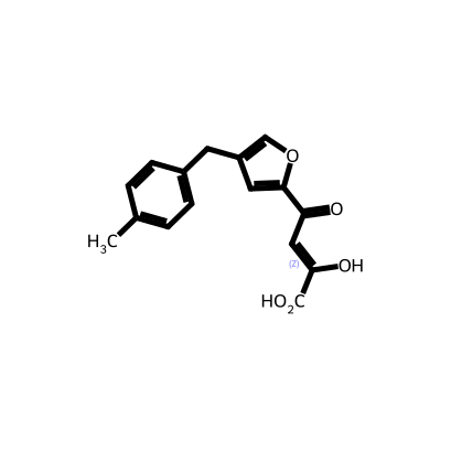 Cc1ccc(Cc2coc(C(=O)/C=C(\O)C(=O)O)c2)cc1